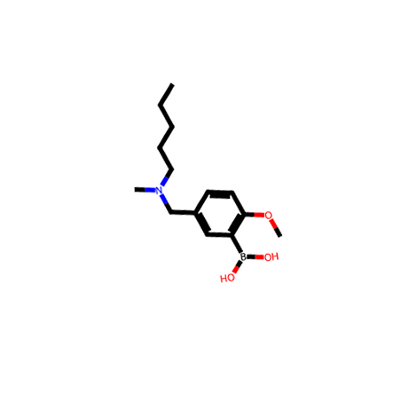 CCCCCN(C)Cc1ccc(OC)c(B(O)O)c1